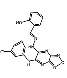 Oc1ccccc1C=NNc1nc2nonc2nc1Nc1cccc(Cl)c1